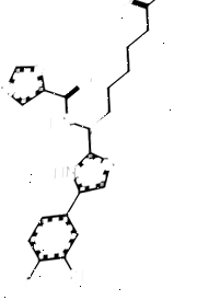 NC(=O)CCCCC[C@H](NC(=O)c1cncs1)c1ncc(-c2ccc(Cl)c(Cl)c2)[nH]1